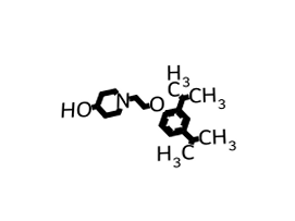 CC(C)c1ccc(OCCN2CCC(O)CC2)c(C(C)C)c1